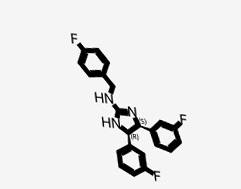 Fc1ccc(CNC2=N[C@@H](c3cccc(F)c3)[C@@H](c3cccc(F)c3)N2)cc1